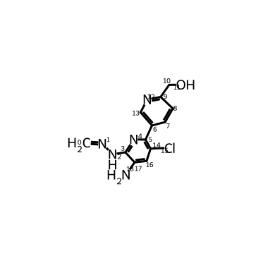 C=NNc1nc(-c2ccc(CO)nc2)c(Cl)cc1N